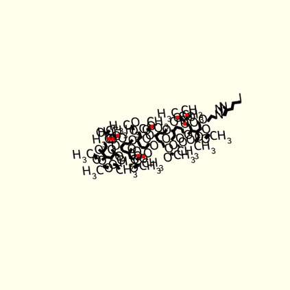 CC(=O)OCC1OC(OC2C(COC(C)=O)OC(OC3C(COC(C)=O)OC(OC4C(COC(C)=O)OC(OC5C(COC(C)=O)OC(OC6C(COC(C)=O)OC(OCCCn7cc(CCCI)nn7)C(OC(C)=O)C6OC(C)=O)C(OC(C)=O)C5OC(C)=O)C(OC(C)=O)C4OC(C)=O)C(OC(C)=O)C3OC(C)=O)C(OC(C)=O)C2OC(C)=O)C(OC(C)=O)C(OC(C)=O)C1OC(C)=O